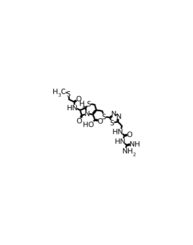 CSCC(=O)NC1C(=O)N2C(C(=O)O)=C(CSc3nnc(CNC(=O)NC(=N)N)s3)CS[C@H]12